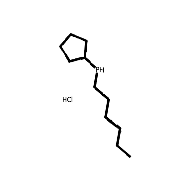 CCCCCCPC1CCCC1.Cl